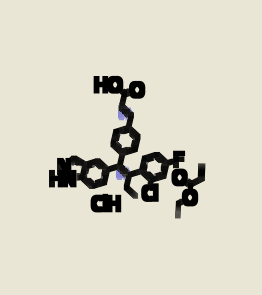 C=CC(=O)OCC.CC/C(=C(/c1ccc(/C=C/C(=O)O)cc1)c1ccc2[nH]ncc2c1)c1ccc(F)cc1Cl.Cl